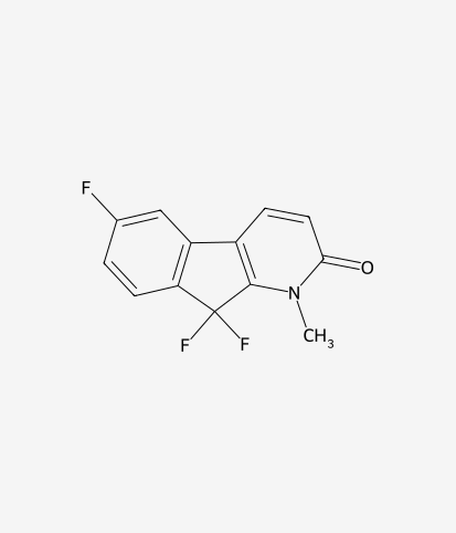 Cn1c2c(ccc1=O)-c1cc(F)ccc1C2(F)F